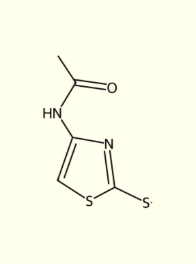 CC(=O)Nc1csc([S])n1